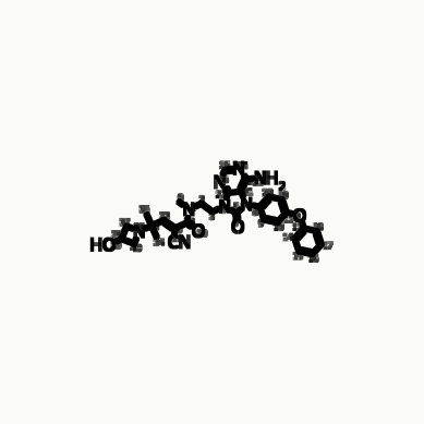 CN(CCn1c(=O)n(-c2ccc(Oc3ccccc3)cc2)c2c(N)ncnc21)C(=O)C(C#N)=CC(C)(C)N1CC(O)C1